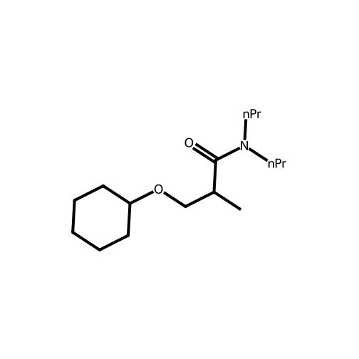 CCCN(CCC)C(=O)C(C)COC1CCCCC1